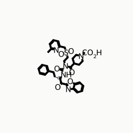 Cc1cccc(CS(=O)(=O)CCN(C(=O)N[C@@H](CCc2ccccc2)C(=O)c2nc3ccccc3o2)C(=O)C2CCN(C(=O)O)CC2)n1